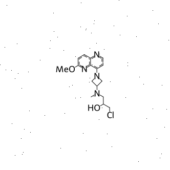 COc1ccc2nccc(N3CC(N(C)CC(O)CCl)C3)c2n1